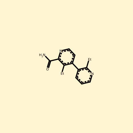 CCc1ncccc1-c1ccnc(C(N)=O)c1CC